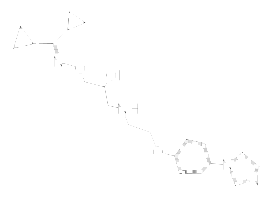 OC(CNCCOc1ccc(-n2ccnc2)cc1)CON=C(C1CC1)C1CC1